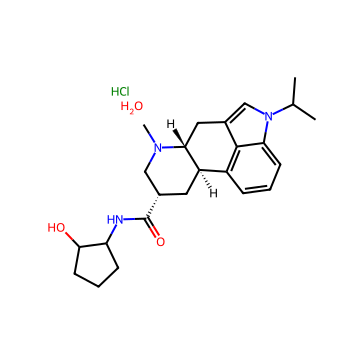 CC(C)n1cc2c3c(cccc31)[C@H]1C[C@H](C(=O)NC3CCCC3O)CN(C)[C@@H]1C2.Cl.O